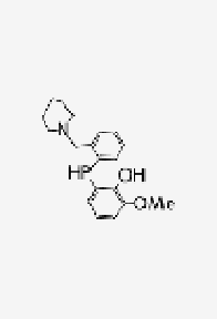 COc1cccc(Pc2ccccc2CN2CCCCC2)c1O